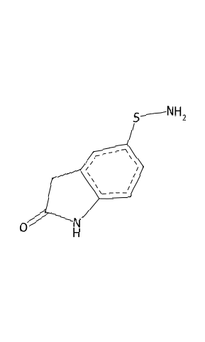 NSc1ccc2c(c1)CC(=O)N2